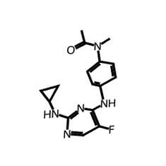 CC(=O)N(C)c1ccc(Nc2nc(NC3CC3)ncc2F)cc1